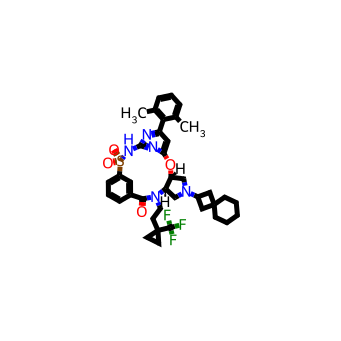 Cc1cccc(C)c1-c1cc2nc(n1)NS(=O)(=O)c1cccc(c1)C(=O)N(CCC1(C(F)(F)F)CC1)[C@@H]1CN(C3CC4(CCCCC4)C3)C[C@H]1O2